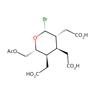 CC(=O)OC[C@@H]1O[C@H](Br)[C@H](CC(=O)O)[C@@H](CC(=O)O)[C@H]1CC(=O)O